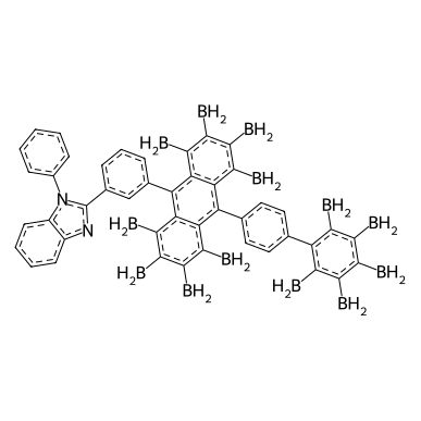 Bc1c(B)c(B)c(-c2ccc(-c3c4c(B)c(B)c(B)c(B)c4c(-c4cccc(-c5nc6ccccc6n5-c5ccccc5)c4)c4c(B)c(B)c(B)c(B)c34)cc2)c(B)c1B